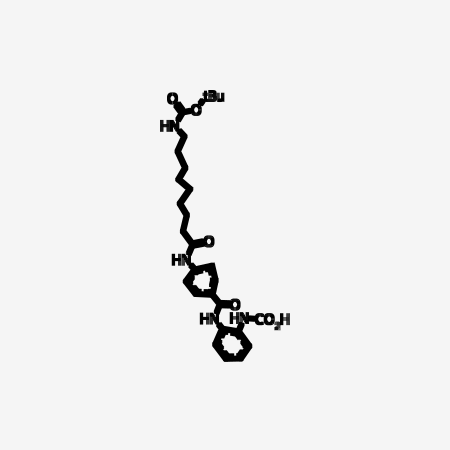 CC(C)(C)OC(=O)NCCCCCCCCC(=O)Nc1ccc(C(=O)Nc2ccccc2NC(=O)O)cc1